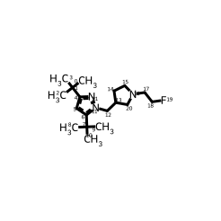 CC(C)(C)c1cc(C(C)(C)C)n(CC2CCN(CCF)C2)n1